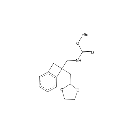 CC(C)(C)OC(=O)NCC1(CC2OCCO2)Cc2ccccc21